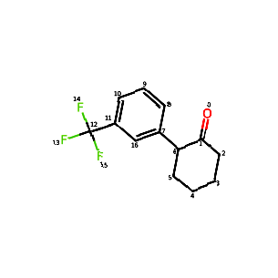 O=C1CCCCC1c1cccc(C(F)(F)F)c1